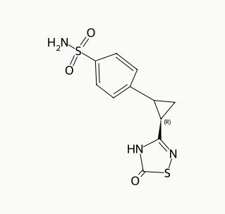 NS(=O)(=O)c1ccc(C2C[C@H]2c2nsc(=O)[nH]2)cc1